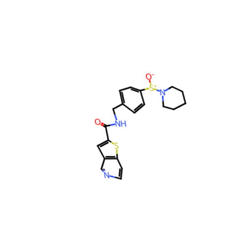 O=C(NCc1ccc([S+]([O-])N2CCCCC2)cc1)c1cc2cnccc2s1